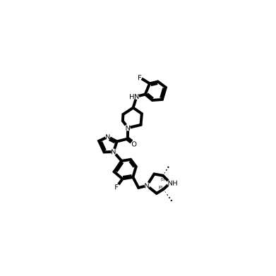 C[C@@H]1CN(Cc2ccc(-n3ccnc3C(=O)N3CCC(Nc4ccccc4F)CC3)cc2F)C[C@H](C)N1